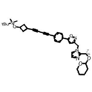 C[C@H](OC1CCCCO1)c1nccn1Cc1cc(-c2ccc(C#CC#CC3CC(O[Si](C)(C)C(C)(C)C)C3)cc2)on1